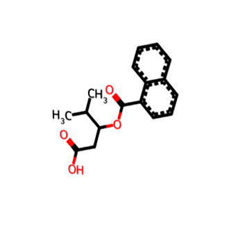 CC(C)C(CC(=O)O)OC(=O)c1cccc2ccccc12